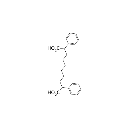 O=C(O)C(CCCCCCC(C(=O)O)c1ccccc1)c1ccccc1